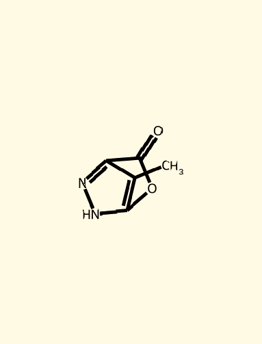 Cc1c2n[nH]c1OC2=O